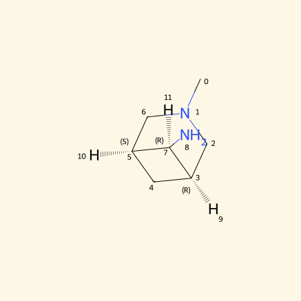 CN1C[C@H]2C[C@@H](C1)[C@H]2N